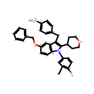 Cc1cc(-n2c(C3CCOCC3)c(Cc3ccc(C(=O)O)cc3)c3cc(OCc4ccccc4)ccc32)ccc1F